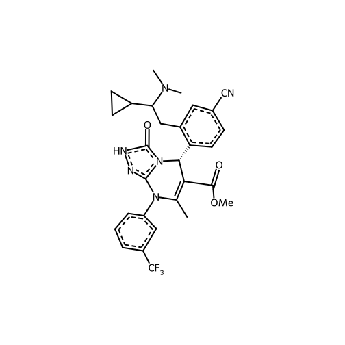 COC(=O)C1=C(C)N(c2cccc(C(F)(F)F)c2)c2n[nH]c(=O)n2[C@@H]1c1ccc(C#N)cc1CC(C1CC1)N(C)C